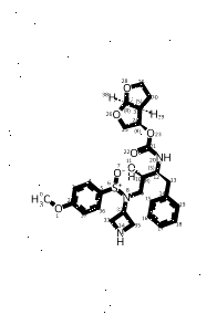 COc1ccc([S+]([O-])N(C[C@@H](O)[C@H](Cc2ccccc2)NC(=O)O[C@H]2CO[C@H]3OCC[C@H]32)C2CNC2)cc1